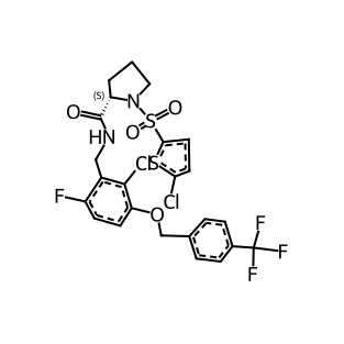 O=C(NCc1c(F)ccc(OCc2ccc(C(F)(F)F)cc2)c1Cl)[C@@H]1CCCN1S(=O)(=O)c1ccc(Cl)s1